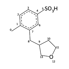 Cc1ccc(S(=O)(=O)O)cc1CC1CCOC1